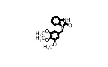 COc1cc(Cn2c(=O)[nH]c3ccccc32)cc(OC)c1OC